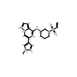 C=CS(=O)(=O)N1CCC[C@@H](Oc2nc(-c3cnn(C)c3)cn3nccc23)C1